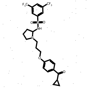 O=C(c1ccc(OCCCN2CCCC2NS(=O)(=O)c2cc(C(F)(F)F)cc(C(F)(F)F)c2)cc1)C1CC1